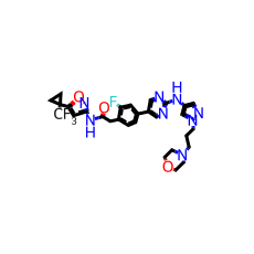 O=C(Cc1ccc(-c2cnc(Nc3cnn(CCCN4CCOCC4)c3)nc2)cc1F)Nc1cc(C2(C(F)(F)F)CC2)on1